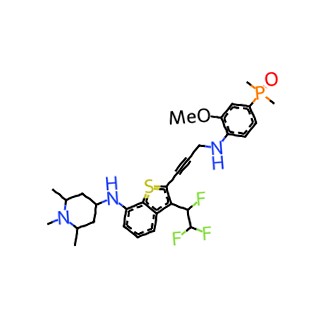 COc1cc(P(C)(C)=O)ccc1NCC#Cc1sc2c(NC3CC(C)N(C)C(C)C3)cccc2c1C(F)C(F)F